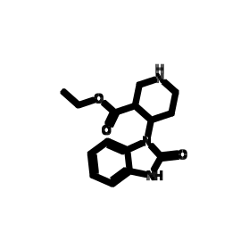 CCOC(=O)C1CNCCC1n1c(=O)[nH]c2ccccc21